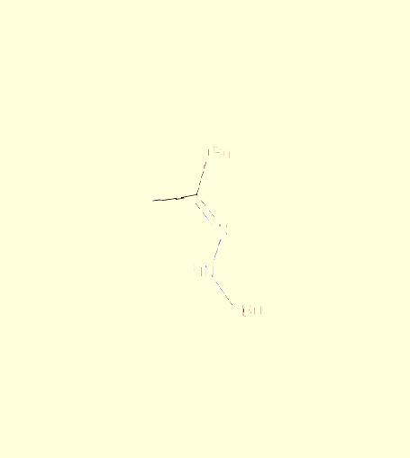 CC(=NNC(C)(C)C)C(C)(C)C